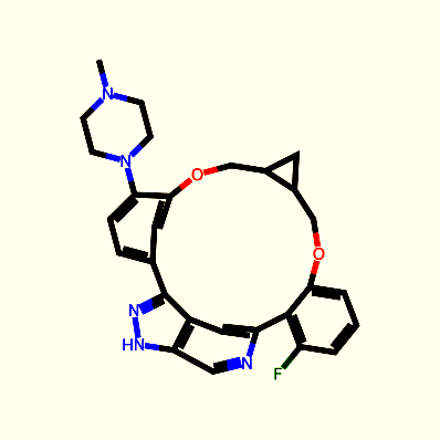 CN1CCN(c2ccc3cc2OCC2CC2COc2cccc(F)c2-c2cc4c-3n[nH]c4cn2)CC1